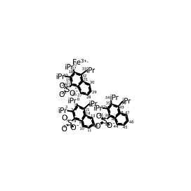 CC(C)c1c(C(C)C)c(S(=O)(=O)[O-])c2ccccc2c1C(C)C.CC(C)c1c(C(C)C)c(S(=O)(=O)[O-])c2ccccc2c1C(C)C.CC(C)c1c(C(C)C)c(S(=O)(=O)[O-])c2ccccc2c1C(C)C.[Fe+3]